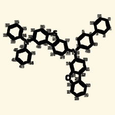 c1ccc(-c2ccc(N(c3ccc4c(c3)oc3ccccc34)c3ccc4c(c3)sc3ccc(N(c5ccccc5)c5ccccc5)cc34)cc2)cc1